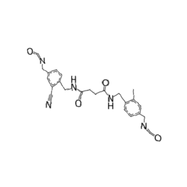 Cc1cc(CN=C=O)ccc1CNC(=O)CCC(=O)NCc1ccc(CN=C=O)cc1C#N